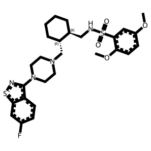 COc1ccc(OC)c(S(=O)(=O)NC[C@@H]2CCCC[C@H]2CN2CCN(c3nsc4cc(F)ccc34)CC2)c1